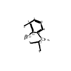 Cc1cccc(OC(C)C)c1Br